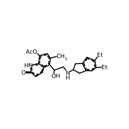 CCc1cc2c(cc1CC)CC(NCC(O)c1c(C)cc(OC(C)=O)c3[nH]c(=O)ccc13)C2